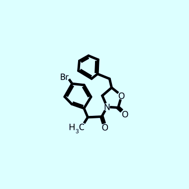 CC(C(=O)N1CC(Cc2ccccc2)OC1=O)c1ccc(Br)cc1